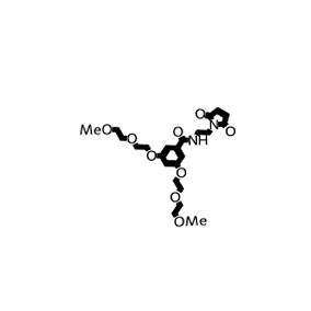 COCCOCCOc1cc(OCCOCCOC)cc(C(=O)NCCN2C(=O)C=CC2=O)c1